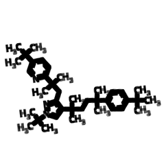 CC(C)(C)c1ccc(C(C)(C)CCC(C)(C)c2cn(C(C)(C)C)nc2CC(C)(C)c2ccc(C(C)(C)C)cn2)cc1